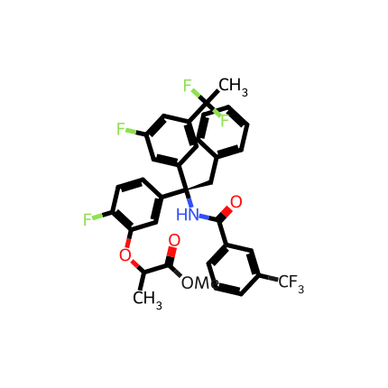 COC(=O)C(C)Oc1cc([C@@](Cc2ccccc2)(NC(=O)c2cccc(C(F)(F)F)c2)c2cc(F)cc(C(C)(F)F)c2)ccc1F